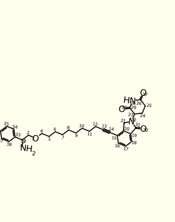 N[C@H](COCCCCCCCCCC#Cc1cccc2c1CN(C1CCC(=O)NC1=O)C2=O)c1ccccc1